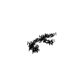 CCC1(C)C(C)=Nc2ccc(-c3nc(Nc4ccc(C5CCNCC5)cn4)nc(C(O)CN4CCN(c5ccc(Nc6ncc(F)c(-c7cc(F)c8c(c7)C7(CCCC7)C(C)=N8)n6)nc5)CC4)c3F)cc21